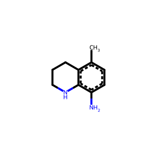 Cc1ccc(N)c2c1CCCN2